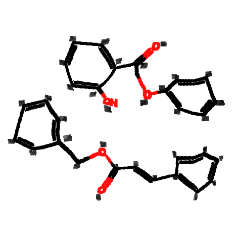 O=C(C=Cc1ccccc1)OCc1ccccc1.O=C(Oc1ccccc1)c1ccccc1O